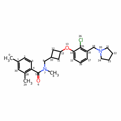 Cc1ccc(C(=O)N(C)CC2CC(Oc3cccc(CN4CCCC4)c3Cl)C2)c(C)c1